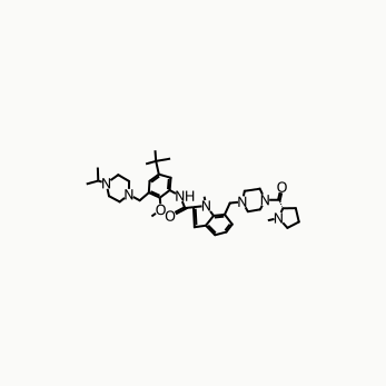 COc1c(CN2CCN(C(C)C)CC2)cc(C(C)(C)C)cc1NC(=O)c1cc2cccc(CN3CCN(C(=O)[C@@H]4CCCN4C)CC3)c2n1C